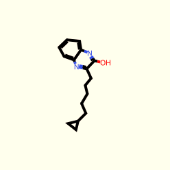 Oc1nc2ccccc2nc1CCCCCC1CC1